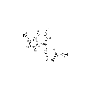 Cc1nc(-c2cccc(O)c2)c2scc(Br)c2n1